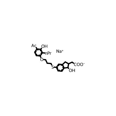 CCCc1c(OCCCSc2ccc3c(c2)CC(CC(=O)[O-])C3O)ccc(C(C)=O)c1O.[Na+]